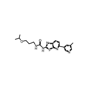 Cc1cncc(-c2ccc3nc(NC(=O)NCCCOC(C)C)sc3n2)c1